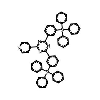 c1ccc([Si](c2ccccc2)(c2ccccc2)c2cccc(-c3nc(-c4ccncc4)nc(-c4cccc([Si](c5ccccc5)(c5ccccc5)c5ccccc5)c4)n3)c2)cc1